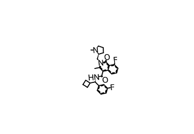 Cc1c(C(=O)N[C@H](c2cccc(F)c2)C2CCC2)c2cccc(F)c2c(=O)n1C[C@@H]1CCCN1C